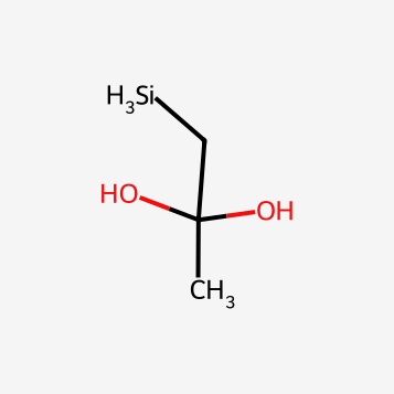 CC(O)(O)C[SiH3]